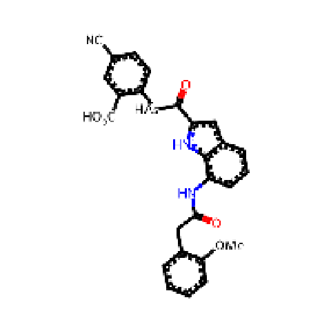 COc1ccccc1CC(=O)Nc1cccc2cc(C(=O)[AsH]c3ccc(C#N)cc3C(=O)O)[nH]c12